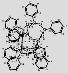 O[Si]1(O)O[Si]2(c3ccccc3)O[Si]3(c4ccccc4)O[Si]4(c5ccccc5)O[Si](O)(O)O[Si]5(c6ccccc6)O[Si](c6ccccc6)(O[Si](c6ccccc6)(O1)O[Si](c1ccccc1)(O5)O[Si](c1ccccc1)(O2)O4)O3